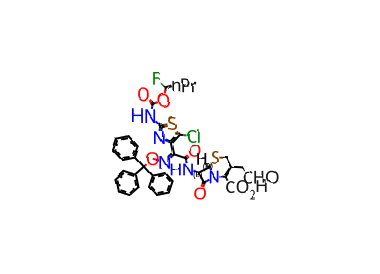 CCCC(F)OC(=O)Nc1nc(C(=NOC(c2ccccc2)(c2ccccc2)c2ccccc2)C(=O)N[C@@H]2C(=O)N3C(C(=O)O)=C(CC=O)CS[C@H]23)c(Cl)s1